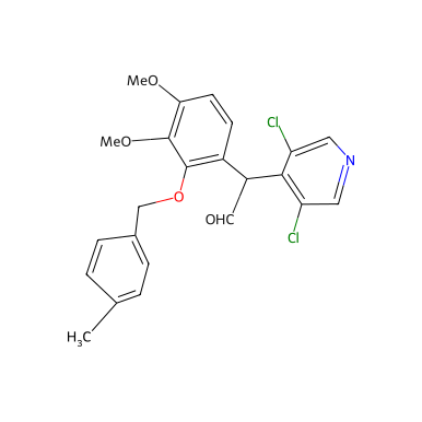 COc1ccc(C(C=O)c2c(Cl)cncc2Cl)c(OCc2ccc(C)cc2)c1OC